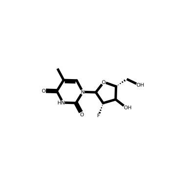 Cc1cn(C2O[C@H](CO)C(O)[C@@H]2F)c(=O)[nH]c1=O